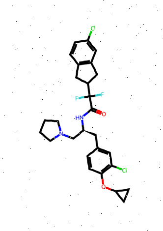 O=C(N[C@@H](Cc1ccc(OC2CC2)c(Cl)c1)CN1CCCC1)C(F)(F)C1Cc2ccc(Cl)cc2C1